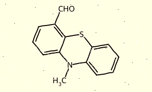 CN1c2ccccc2Sc2c(C=O)cccc21